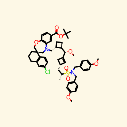 COc1ccc(CN(Cc2ccc(OC)cc2)S(=O)(=O)[C@H](C)C[C@H]2C=C([C@@H](OC)[C@@H]3CC[C@H]3CN3C[C@@]4(CCCc5cc(Cl)ccc54)COc4ccc(C(=O)OC(C)(C)C)cc43)C2)cc1